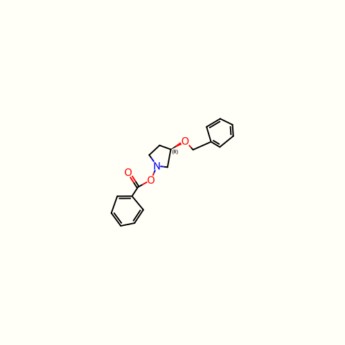 O=C(ON1CC[C@@H](OCc2ccccc2)C1)c1ccccc1